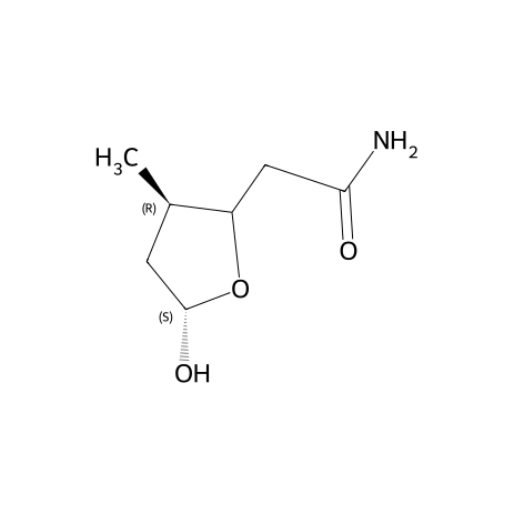 C[C@@H]1C[C@@H](O)OC1CC(N)=O